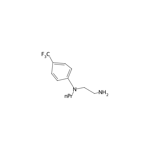 CCCN(CCN)c1ccc(C(F)(F)F)cc1